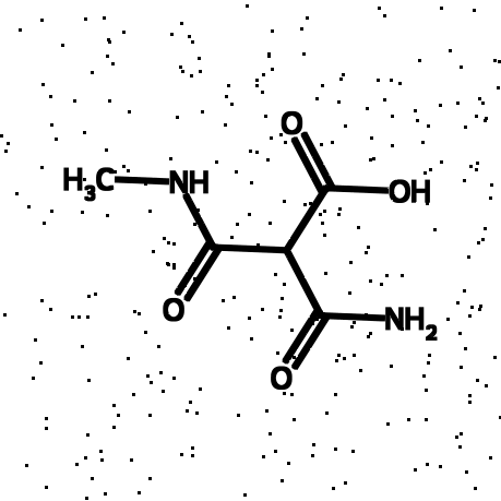 CNC(=O)C(C(N)=O)C(=O)O